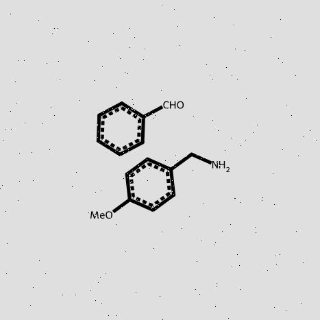 COc1ccc(CN)cc1.O=Cc1ccccc1